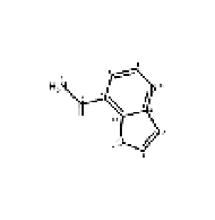 NNc1ccnc2ccoc12